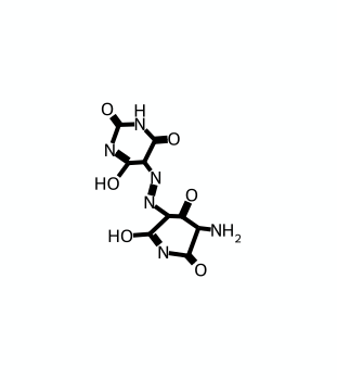 NC1C(=O)N=C(O)C(N=NC2C(=O)NC(=O)N=C2O)C1=O